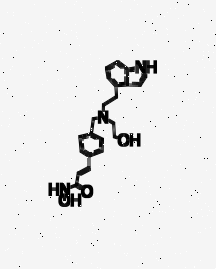 O=C(/C=C/c1ccc(CN(CCO)CCc2cccc3[nH]ccc23)cc1)NO